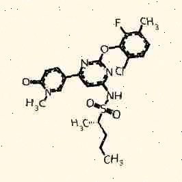 CCC[C@H](C)S(=O)(=O)Nc1cc(-c2ccc(=O)n(C)c2)nc(Oc2c(Cl)ccc(C)c2F)n1